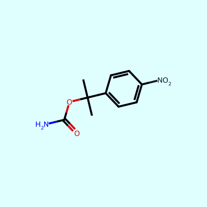 CC(C)(OC(N)=O)c1ccc([N+](=O)[O-])cc1